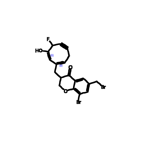 O=C1c2cc(CBr)cc(Br)c2OCC1CC1=C/CC#CC(F)/C(O)=C\1